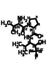 CC(C)C(NC(=O)[C@H]1CCCN1C(=O)[C@H](N)C(C)C)C(O)C(F)(F)F